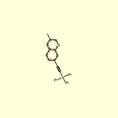 Cc1cnc2cc(C#C[Si](C(C)C)(C(C)C)C(C)C)ccc2c1